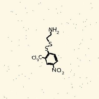 NCCSSc1ccc([N+](=O)[O-])cc1C(Cl)(Cl)Cl